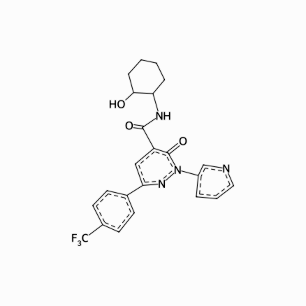 O=C(NC1CCCCC1O)c1cc(-c2ccc(C(F)(F)F)cc2)nn(-c2cccnc2)c1=O